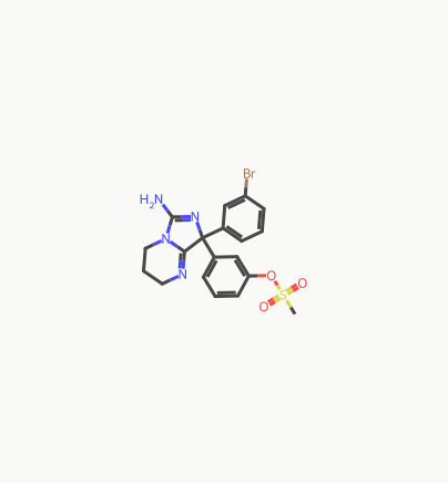 CS(=O)(=O)Oc1cccc(C2(c3cccc(Br)c3)N=C(N)N3CCCN=C32)c1